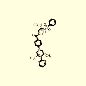 C[C@@H]1CN(c2ccc(C(=O)NC[C@H](NS(=O)(=O)c3ccccc3)C(=O)O)cc2)C[C@H](C)N1c1ncccn1